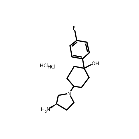 Cl.Cl.N[C@@H]1CCN(C2CCC(O)(c3ccc(F)cc3)CC2)C1